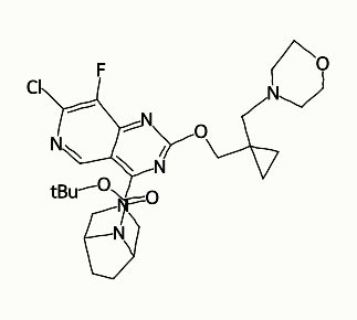 CC(C)(C)OC(=O)N1C2CCC1CN(c1nc(OCC3(CN4CCOCC4)CC3)nc3c(F)c(Cl)ncc13)C2